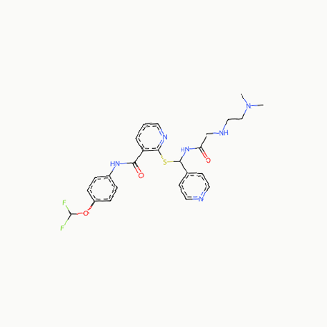 CN(C)CCNCC(=O)NC(Sc1ncccc1C(=O)Nc1ccc(OC(F)F)cc1)c1ccncc1